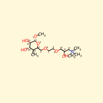 CO[C@@H]1OC(COCCOCC(O)C[N+](C)(C)C)C(C)[C@H](O)[C@H]1O